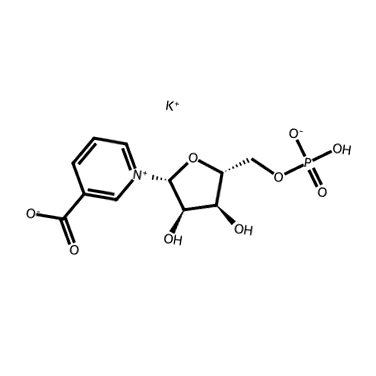 O=C([O-])c1ccc[n+]([C@@H]2O[C@H](COP(=O)([O-])O)[C@@H](O)[C@H]2O)c1.[K+]